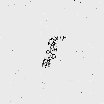 CC(F)(F)C(F)(F)C(F)(F)CN1CCCC1C(=O)NCC(F)(F)C(F)(F)C(F)(F)S(=O)(=O)O